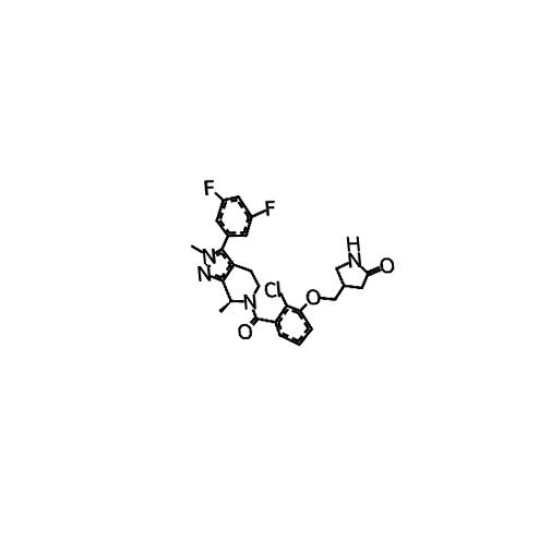 C[C@H]1c2nn(C)c(-c3cc(F)cc(F)c3)c2CCN1C(=O)c1cccc(OCC2CNC(=O)C2)c1Cl